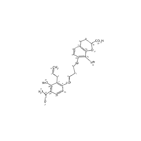 C=CCc1c(OCCCOc2ccc3c(c2CCC)OC(C(=O)O)CC3)ccc(C(N)=O)c1OC